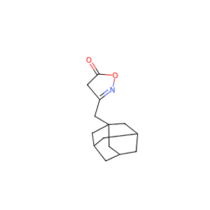 O=C1CC(CC23CC4CC(CC(C4)C2)C3)=NO1